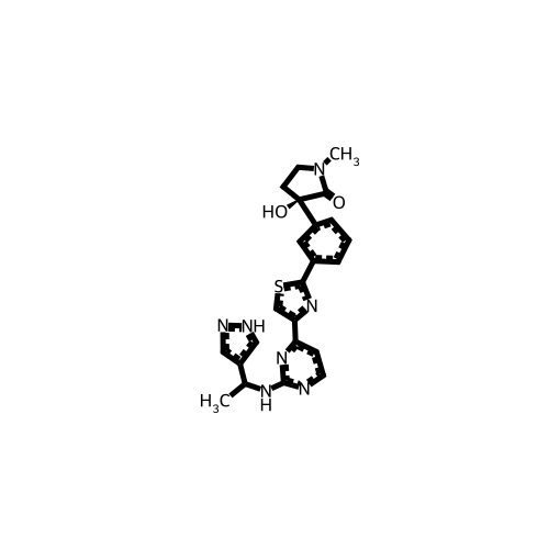 CC(Nc1nccc(-c2csc(-c3cccc([C@]4(O)CCN(C)C4=O)c3)n2)n1)c1cn[nH]c1